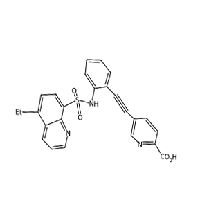 CCc1ccc(S(=O)(=O)Nc2ccccc2C#Cc2ccc(C(=O)O)nc2)c2ncccc12